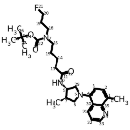 Cc1ccc(N2C[C@@H](C)[C@@H](NC(=O)CCCCN(CCCF)C(=O)OC(C)(C)C)C2)c2cccnc12